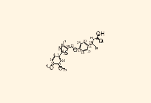 COc1ccc(-c2nc(C)c(COc3ccc(C(C)CC(=O)O)cc3)s2)cc1OC